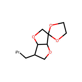 CC(C)CC1COC2C1OCC21OCCO1